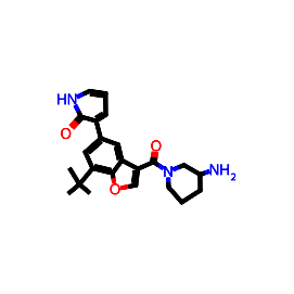 CC(C)(C)c1cc(-c2ccc[nH]c2=O)cc2c(C(=O)N3CCCC(N)C3)coc12